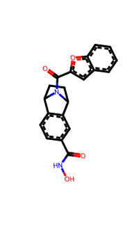 O=C(NO)c1ccc2c(c1)C1CCC2N1C(=O)c1cc2ccccc2o1